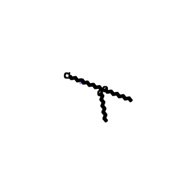 CCCCCCCCCOC(CCCCC/C=C/CCCCl)OCCCCCCCCC